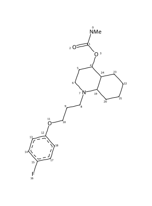 CNC(=O)OC1CCN(CCCOc2ccc(F)cc2)C2CCCCC12